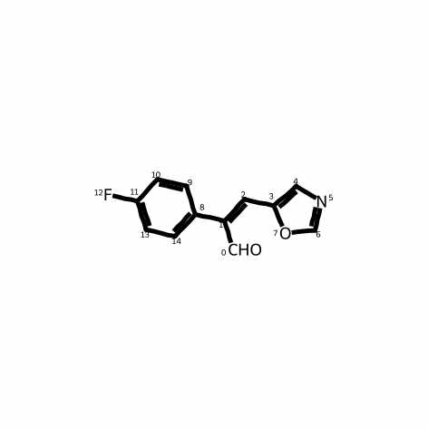 O=CC(=Cc1cnco1)c1ccc(F)cc1